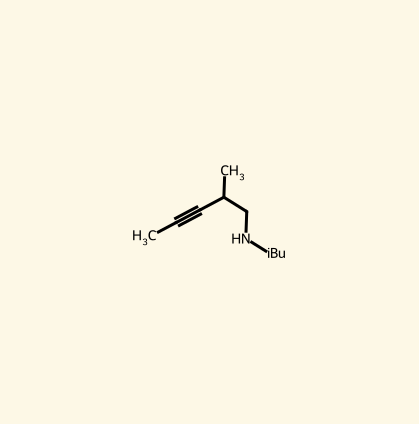 CC#CC(C)CNC(C)CC